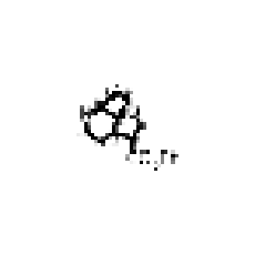 CCOC(=O)C1COC23C=CC=CC2=NCCC13